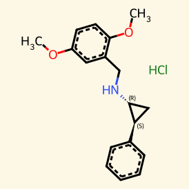 COc1ccc(OC)c(CN[C@@H]2C[C@H]2c2ccccc2)c1.Cl